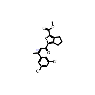 COC(=O)c1sc(C(=O)/C=C(/C)c2cc(Cl)cc(Cl)c2)c2c1CCC2